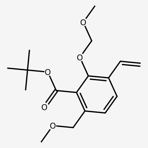 C=Cc1ccc(COC)c(C(=O)OC(C)(C)C)c1OCOC